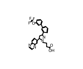 O=C(O)CCCN1N=C(c2cccc(-c3cccc(OC(F)(F)F)c3)c2)CC1c1ccc2nccnc2c1